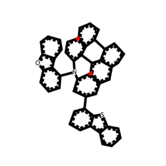 c1ccc(-c2cccc3cccc(-c4ccccc4N(c4cccc(-c5cccc6c5sc5ccccc56)c4)c4cccc5oc6ccccc6c45)c23)cc1